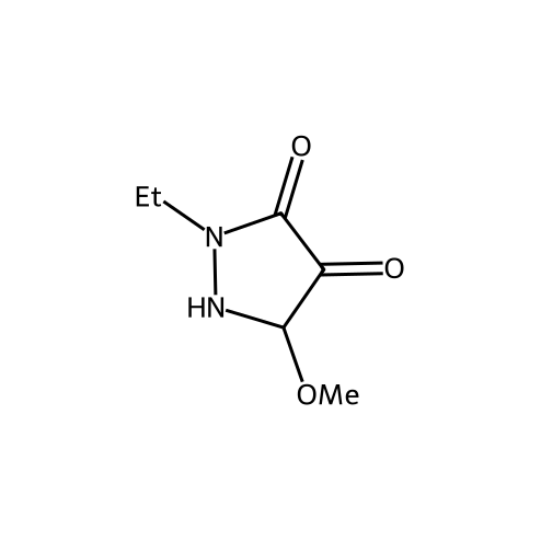 CCN1NC(OC)C(=O)C1=O